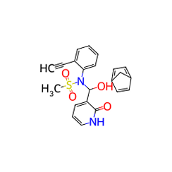 C#Cc1ccccc1N(C(O)c1ccc[nH]c1=O)S(C)(=O)=O.C1=CC2=CC=C1C2